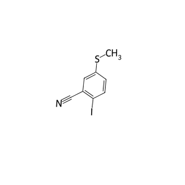 CSc1ccc(I)c(C#N)c1